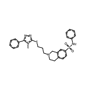 Cn1c(SCCCN2CCc3ccc(S(=O)(=O)Nc4ccccc4)cc3C2)nnc1-c1ccccc1